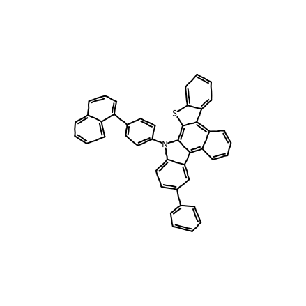 c1ccc(-c2ccc3c(c2)c2c4ccccc4c4c5ccccc5sc4c2n3-c2ccc(-c3cccc4ccccc34)cc2)cc1